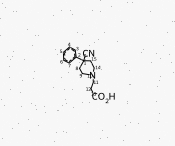 N#CC1(c2ccccc2)CCN(CCC(=O)O)CC1